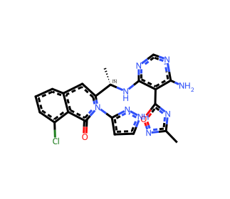 Cc1noc(-c2c(N)ncnc2N[C@@H](C)c2cc3cccc(Cl)c3c(=O)n2-c2cc[nH]n2)n1